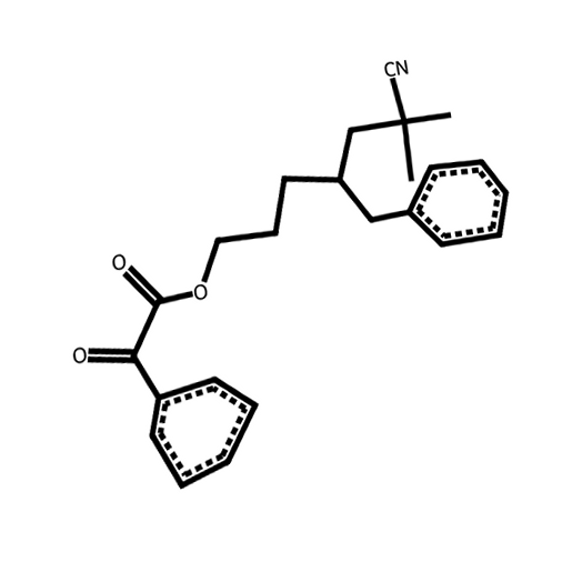 CC(C)(C#N)CC(CCCOC(=O)C(=O)c1ccccc1)Cc1ccccc1